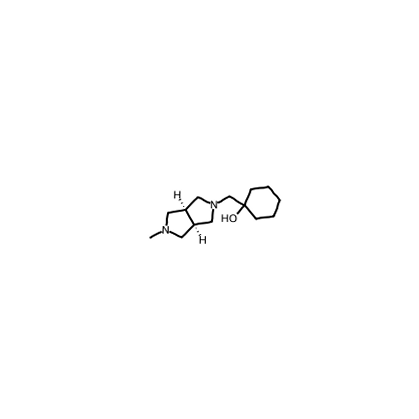 CN1C[C@@H]2CN(CC3(O)CCCCC3)C[C@@H]2C1